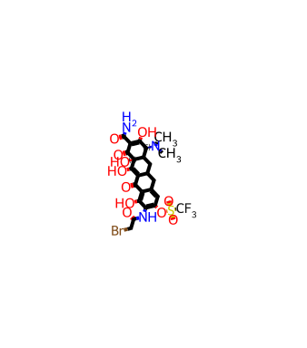 CN(C)[C@@H]1C(O)=C(C(N)=O)C(=O)[C@@]2(O)C(O)=C3C(=O)c4c(cc(OS(=O)(=O)C(F)(F)F)c(NC(=O)CBr)c4O)CC3CC12